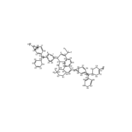 CC(C)C1=CC(c2ccc(N(C3=C[C@@H]4C(F)C4C=C3)C3C=CC=CC3)cc2)C2CC3C4c5c(ccc1c52)C(C1=C2C=C(N(C5=CCCC=C5)C5CC=C(F)CC5)C=CC21)=CC4CCC3(C)C